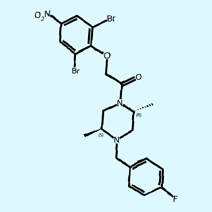 C[C@@H]1CN(Cc2ccc(F)cc2)[C@@H](C)CN1C(=O)COc1c(Br)cc([N+](=O)[O-])cc1Br